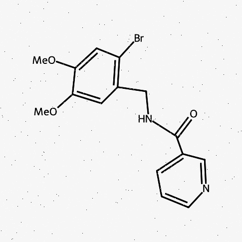 COc1cc(Br)c(CNC(=O)c2cccnc2)cc1OC